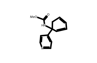 COC(=O)NC1(c2ccncc2)C=CC=CC1